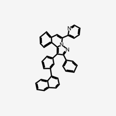 c1ccc(-c2nn3c(-c4ccccn4)cc4ccccc4c3c2-c2cccc(-c3cccc4ccccc34)c2)cc1